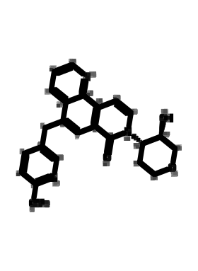 COc1ccc(Cc2cc3c(=O)n([C@H]4CCOC[C@@H]4O)ccc3c3ncccc23)cn1